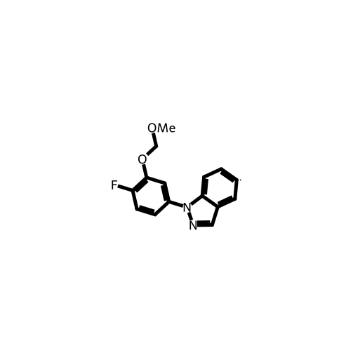 COCOc1cc(-n2ncc3c[c]ccc32)ccc1F